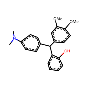 COc1ccc(C(c2ccc(N(C)C)cc2)c2ccccc2O)cc1OC